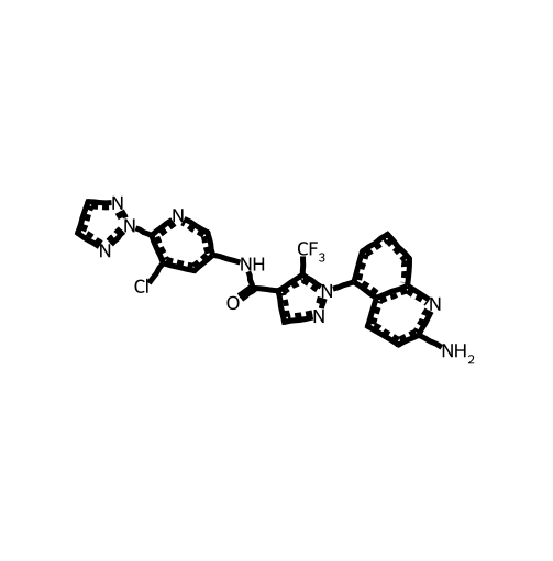 Nc1ccc2c(-n3ncc(C(=O)Nc4cnc(-n5nccn5)c(Cl)c4)c3C(F)(F)F)cccc2n1